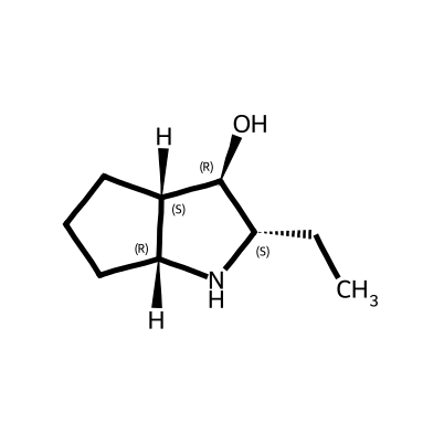 CC[C@@H]1N[C@@H]2CCC[C@@H]2[C@H]1O